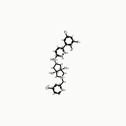 Fc1cc(F)c(F)c(-c2ccc(N[C@H]3C[C@@H]4CN(Cc5cc(Cl)ccn5)C[C@@H]4C3)nn2)c1